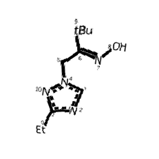 CCc1ncn(CC(=NO)C(C)(C)C)n1